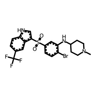 CN1CCC(Nc2cc(S(=O)(=O)c3c[nH]c4ccc(C(F)(F)F)cc34)ccc2Br)CC1